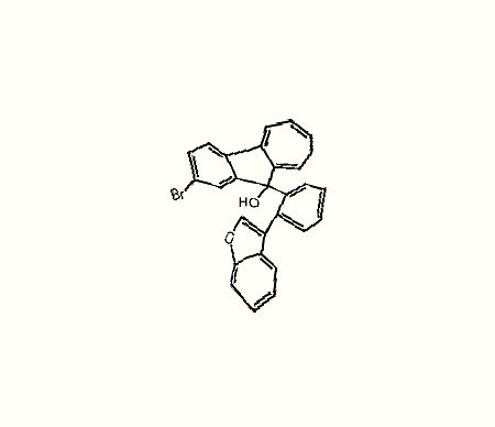 OC1(c2ccccc2-c2coc3ccccc23)c2ccccc2-c2ccc(Br)cc21